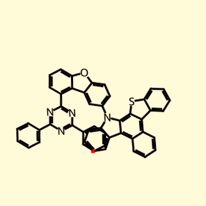 c1ccc(-c2nc(-c3ccccc3)nc(-c3cccc4oc5ccc(-n6c7ccccc7c7c8ccccc8c8c9ccccc9sc8c76)cc5c34)n2)cc1